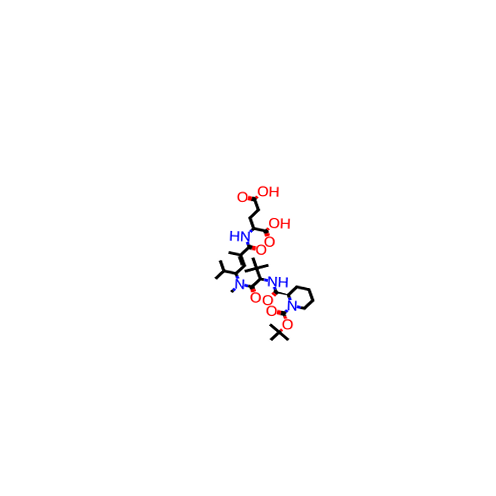 C/C(=C\C(C(C)C)N(C)C(=O)C(NC(=O)[C@H]1CCCCN1C(=O)OC(C)(C)C)C(C)(C)C)C(=O)NC(CCC(=O)O)C(=O)O